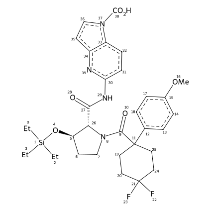 CC[Si](CC)(CC)O[C@@H]1CCN(C(=O)C2(c3ccc(OC)cc3)CCC(F)(F)CC2)[C@H]1C(=O)Nc1ccc2c(ccn2C(=O)O)n1